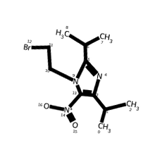 CC(C)c1nc(C(C)C)n(CCBr)c1[N+](=O)[O-]